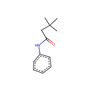 CC(C)(C)CC(=O)Nc1c[c]ccc1